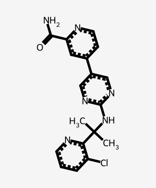 CC(C)(Nc1ncc(-c2ccnc(C(N)=O)c2)cn1)c1ncccc1Cl